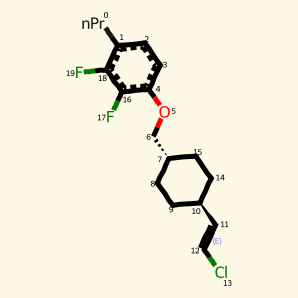 CCCc1ccc(OC[C@H]2CC[C@H](/C=C/Cl)CC2)c(F)c1F